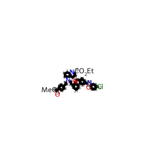 CCOC(=O)c1ccc2c(n1)CCCC2N(CCc1ccc(C(=O)OC)cc1)CCc1ccccc1OCc1ccc(-c2nc3cc(Cl)ccc3o2)cc1